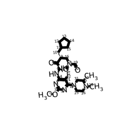 COc1nc(NNC(=O)[C@H](CC2CCCC2)CN(O)C=O)c(F)c(N2CCN(C)[C@H](C)C2)n1